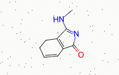 CNC1=NC(=O)C2=C1CCC=C2